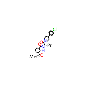 COC(=O)C1CCCC(C(=O)N[C@@H](C(=O)N2CCC(c3ccc(Cl)cc3)CC2)C(C)C)C1